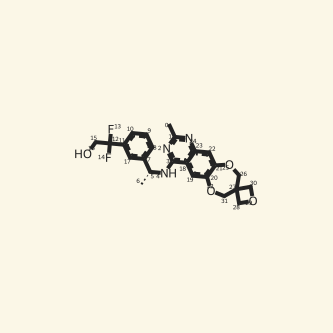 Cc1nc(N[C@H](C)c2cccc(C(F)(F)CO)c2)c2cc3c(cc2n1)OCC1(COC1)CO3